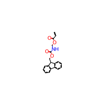 C=CC(=O)OCNC(=O)OCC1c2ccccc2-c2ccccc21